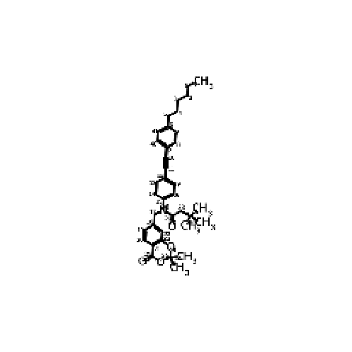 CCCCCCc1ccc(C#Cc2ccc(N(Cc3ccc4c(c3)OC(C)(C)OC4=O)C(=O)CC(C)(C)C)cc2)cc1